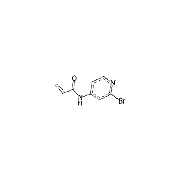 C=CC(=O)Nc1ccnc(Br)c1